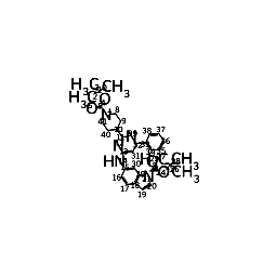 CC(C)(C)OC(=O)N1CCC(c2nc(Nc3ccc4ccn(C(=O)OC(C)(C)C)c4c3)cc(-c3ccccc3)n2)CC1